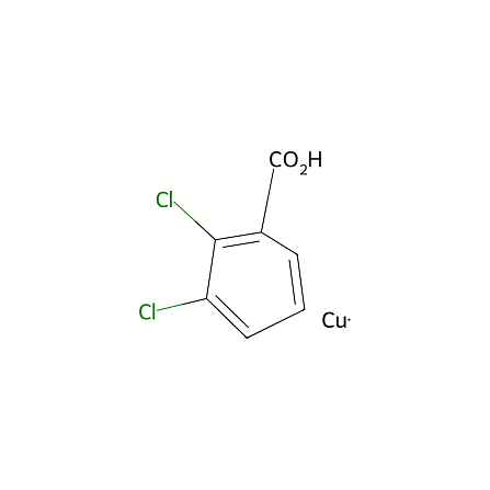 O=C(O)c1cccc(Cl)c1Cl.[Cu]